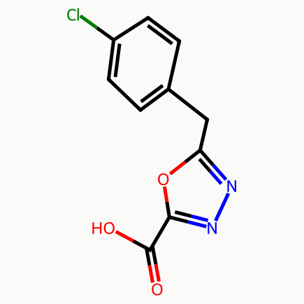 O=C(O)c1nnc(Cc2ccc(Cl)cc2)o1